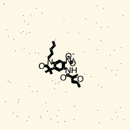 CCCCCN1C(=O)C(C)(C)c2cc(NC(=O)c3coc(C)c3)c([N+](=O)[O-])cc21